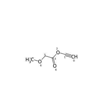 C#COC(=O)COC